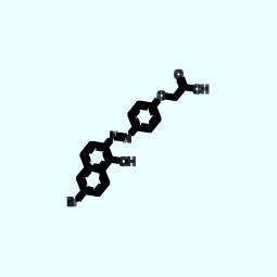 O=C(O)COc1ccc(N=Nc2ccc3cc(Br)ccc3c2O)cc1